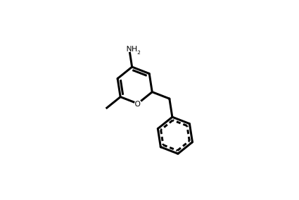 CC1=CC(N)=CC(Cc2ccccc2)O1